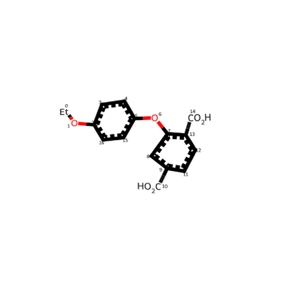 CCOc1ccc(Oc2cc(C(=O)O)ccc2C(=O)O)cc1